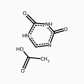 CC(=O)O.O=c1nc[nH]c(=O)[nH]1